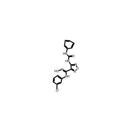 O=C(Nc1ccccc1)Nc1nonc1C(=NO)Nc1cccc(Cl)c1